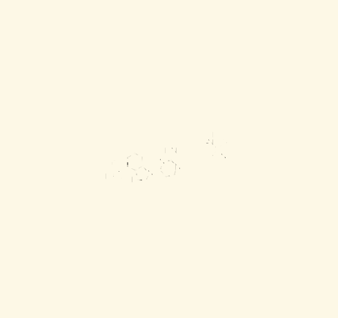 CC(C)(O)c1cccc2c1ccn2-c1ccnc(N[C@H]2CC[C@H](NS(=O)(=O)N3CCCC3)CC2)n1